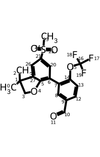 CC1(C)COc2c(-c3cc(C=O)ccc3OC(F)(F)F)cc(S(C)(=O)=O)cc21